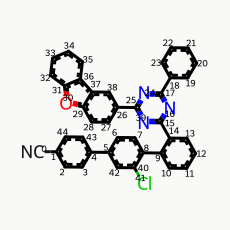 N#Cc1ccc(-c2ccc(-c3ccccc3-c3nc(-c4ccccc4)nc(-c4ccc5oc6ccccc6c5c4)n3)c(Cl)c2)cc1